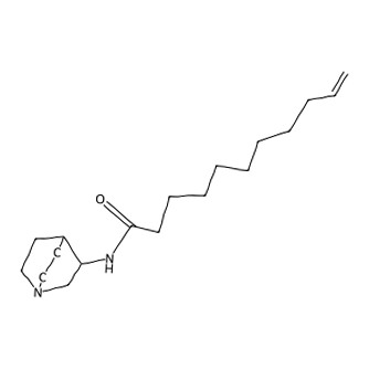 C=CCCCCCCCCC(=O)NC1CN2CCC1CC2